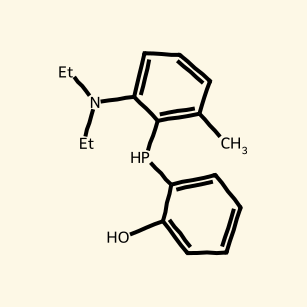 CCN(CC)c1cccc(C)c1Pc1ccccc1O